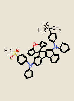 C[Si](C)(C)c1ccc(N(c2ccccc2)c2cc3c(c4ccccc24)-c2ccc(N(c4ccccc4)c4ccc(S(C)(=O)=O)cc4)cc2C32c3ccccc3Oc3ccccc32)cc1